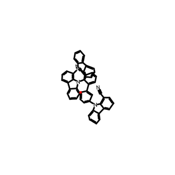 N#Cc1cccc(-c2cccc(-n3c4ccccc4c4cccc(C#N)c43)c2)c1-n1c2ccccc2c2cccc(-n3c4ccccc4c4ccccc43)c21